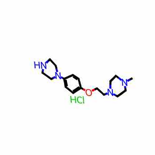 CN1CCN(CCOc2ccc(N3CCNCC3)cc2)CC1.Cl